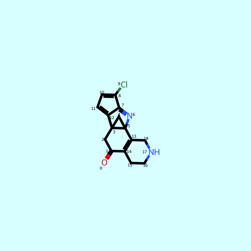 O=C1CC23CC2(N=C2C(Cl)=CC=C23)C2=C1CCNC2